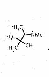 CN[C@H](C)C(C)(C)C